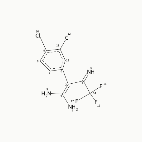 N=C(C(=C(N)N)c1ccc(Cl)c(Cl)c1)C(F)(F)F